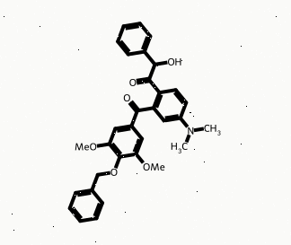 COc1cc(C(=O)c2cc(N(C)C)ccc2C(=O)C(O)c2ccccc2)cc(OC)c1OCc1ccccc1